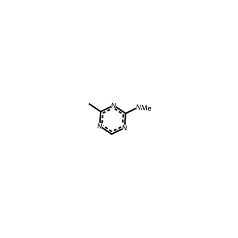 CNc1ncnc(C)n1